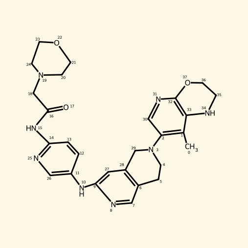 Cc1c(N2CCc3cnc(Nc4ccc(NC(=O)CN5CCOCC5)nc4)cc3C2)cnc2c1NCCO2